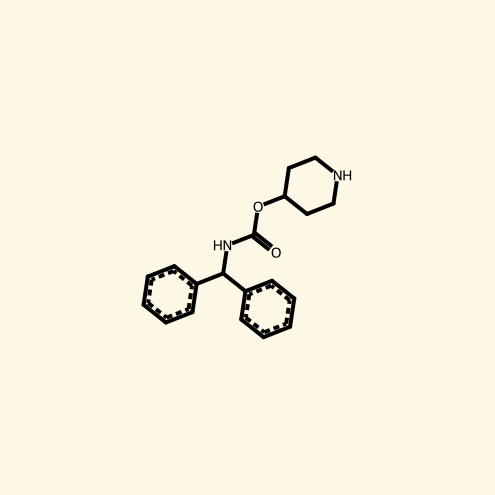 O=C(NC(c1ccccc1)c1ccccc1)OC1CCNCC1